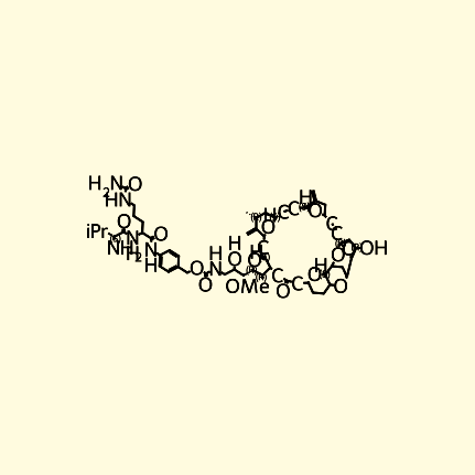 C=C1C2C[C@@H]3O[C@H](CC(O)CNC(=O)OCc4ccc(NC(=O)C(CCCNC(N)=O)NC(=O)[C@@H](N)C(C)C)cc4)[C@H](OC)C3CC(=O)CC3CCC4OC5CC(O[C@@]6(CCC7CC(=C)[C@H](CC[C@@H](C[C@H]1C)O2)O7)C[C@@H](O)C5O6)[C@H]4O3